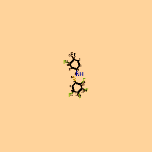 CCc1ccc(NSc2cc(F)c(F)c(F)c2F)cc1F